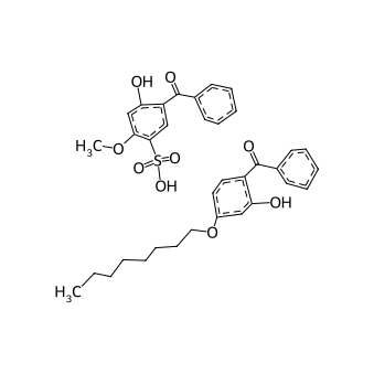 CCCCCCCCOc1ccc(C(=O)c2ccccc2)c(O)c1.COc1cc(O)c(C(=O)c2ccccc2)cc1S(=O)(=O)O